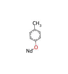 Cc1ccc([O][Nd])cc1